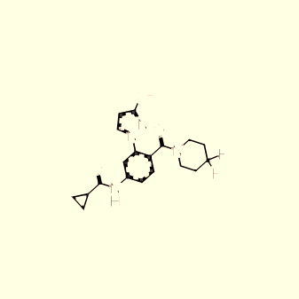 O=C(Nc1ccc(C(=O)N2CCC(F)(F)CC2)c(-n2ccc(C(F)(F)F)n2)c1)C1CC1